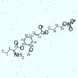 CCCC(N)C(=O)Oc1ccc(/C=C/C(=O)OCCCCO[N+](=O)[O-])cc1OC